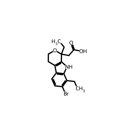 CCc1c(Br)ccc2c3c([nH]c12)C(CC)(CC(=O)O)OCC3